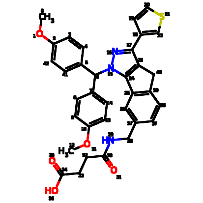 COc1ccc(C(c2ccc(OC)cc2)n2nc(-c3ccsc3)c3c2-c2cc(CNC(=O)CCC(=O)O)ccc2C3)cc1